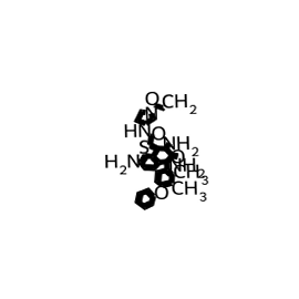 C=CC(=O)N1CCC(NC(=O)c2sc3c(N)ccc4c3c2C(N)C(=O)C4(N)c2ccc(Oc3ccccc3)c(C)c2C)C1